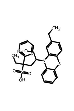 CCc1ccc2c(c1)N(C(CC)CC(CC)(c1ncccn1)S(=O)(=O)O)c1ccccc1S2